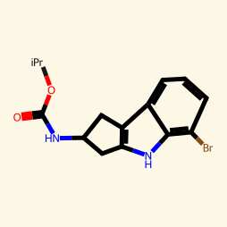 CC(C)OC(=O)NC1Cc2[nH]c3c(Br)cccc3c2C1